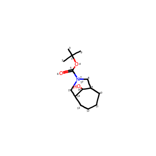 CC(C)(C)OC(=O)N1CC2CCCCC(C1)C2O